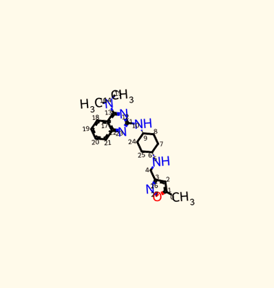 Cc1cc(CN[C@H]2CC[C@@H](Nc3nc(N(C)C)c4ccccc4n3)CC2)no1